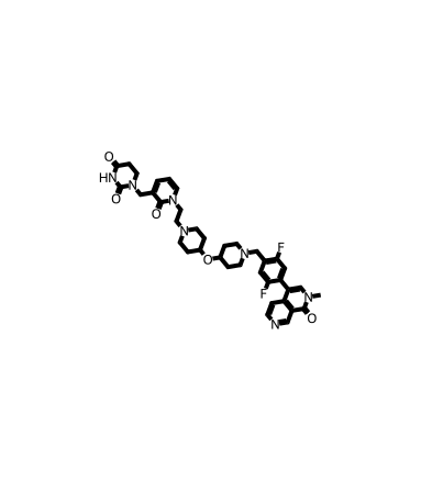 Cn1cc(-c2cc(F)c(CN3CCC(OC4CCN(CCn5cccc(CN6CCC(=O)NC6=O)c5=O)CC4)CC3)cc2F)c2ccncc2c1=O